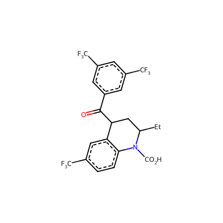 CCC1CC(C(=O)c2cc(C(F)(F)F)cc(C(F)(F)F)c2)c2cc(C(F)(F)F)ccc2N1C(=O)O